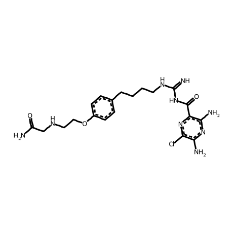 N=C(NCCCCc1ccc(OCCNCC(N)=O)cc1)NC(=O)c1nc(Cl)c(N)nc1N